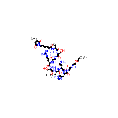 COCCOCCNC(=O)CNC(=O)[C@H](Cc1c[nH]cn1)NC(=O)[C@H](CC(N)=O)NC(=O)[C@H](CC(=O)O)NC(=O)[C@H](CO)NC(=O)[C@H](CCCNC(=N)N)NC(=O)CNC(=O)[C@H](CO)NC(=O)[C@H](CC(C)C)NC(=O)CCCCCN1C(=O)CC(SC)C1=O